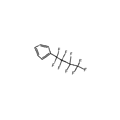 FC(F)(F)C(F)(F)C(F)(F)C(F)(F)c1ccccc1